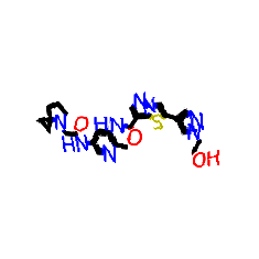 Cc1ncc(NC(=O)CN2CCCC23CC3)cc1NC(=O)c1cnn2cc(-c3cnn(CCO)c3)sc12